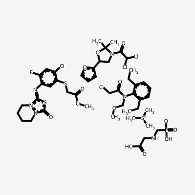 CC1(C)OC(c2ccco2)CN1C(=O)C(Cl)Cl.CCc1cccc(CC)c1N(COC)C(=O)CCl.COC(=O)CSc1cc(/N=c2\sc(=O)n3n2CCCC3)c(F)cc1Cl.C[S+](C)C.O=C(O)CNCP(=O)([O-])O